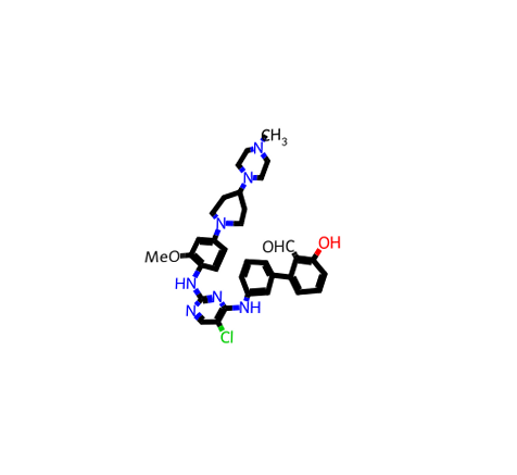 COc1cc(N2CCC(N3CCN(C)CC3)CC2)ccc1Nc1ncc(Cl)c(Nc2cccc(-c3cccc(O)c3C=O)c2)n1